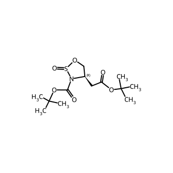 CC(C)(C)OC(=O)C[C@@H]1COS(=O)N1C(=O)OC(C)(C)C